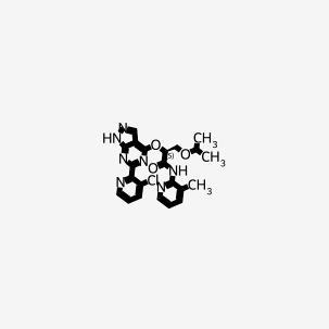 Cc1cccnc1NC(=O)[C@H](COC(C)C)Oc1nc(-c2ncccc2Cl)nc2[nH]ncc12